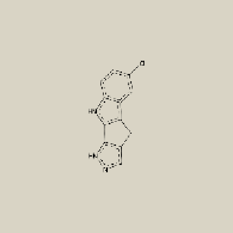 Clc1ccc2[nH]c3c(c2c1)Cc1cn[nH]c1-3